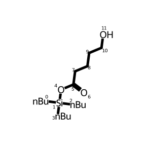 CCCC[Si](CCCC)(CCCC)OC(=O)CCCCO